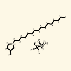 CCCCCCCCCCCCCCCCN1CCC(C)C1.O=S(=O)(O)C(F)(F)F